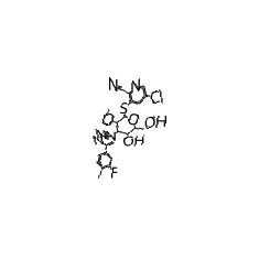 COC1C(Sc2cc(Cl)cnc2C#N)OC(CO)C(O)C1n1cc(-c2ccc(C)c(F)c2)nn1